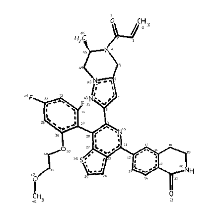 C=CC(=O)N1Cc2cc(-c3nc(-c4ccc5c(c4)CCNC5=O)c4ccsc4c3-c3c(F)cc(F)cc3OCCOC)nn2C[C@H]1C